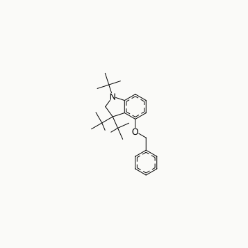 CC(C)(C)N1CC(C(C)(C)C)(C(C)(C)C)c2c(OCc3ccccc3)cccc21